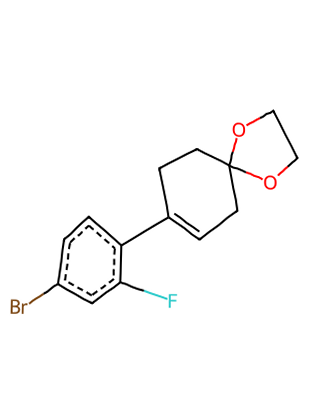 Fc1cc(Br)ccc1C1=CCC2(CC1)OCCO2